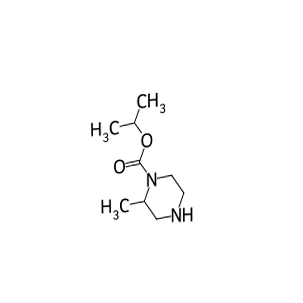 CC(C)OC(=O)N1CCNCC1C